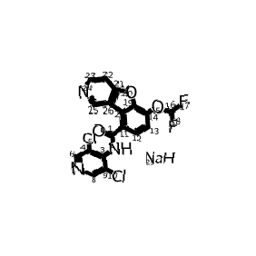 O=C(Nc1c(Cl)cncc1Cl)c1ccc(OC(F)F)c2oc3ccncc3c12.[NaH]